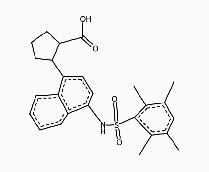 Cc1cc(C)c(C)c(S(=O)(=O)Nc2ccc(C3CCCC3C(=O)O)c3ccccc23)c1C